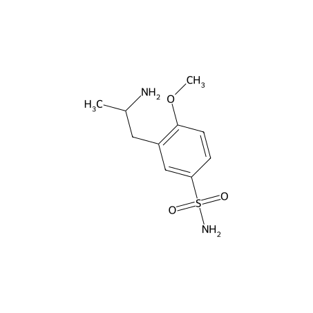 COc1ccc(S(N)(=O)=O)cc1CC(C)N